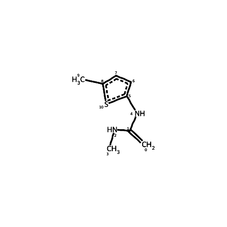 C=C(NC)Nc1ccc(C)s1